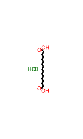 Cl.Cl.O=C(O)CCCCCCCCCCCCCCCC(=O)O